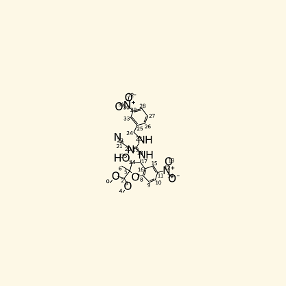 COC(OC)C1(C)Oc2ccc([N+](=O)[O-])cc2C(NC(=NC#N)NCc2cccc([N+](=O)[O-])c2)C1O